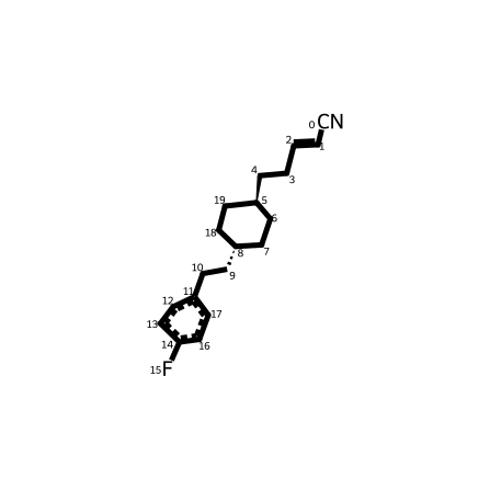 N#CC=CCC[C@H]1CC[C@H](CCc2ccc(F)cc2)CC1